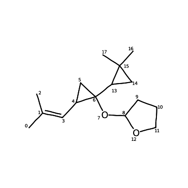 CC(C)=CC1CC1(OC1CCCO1)C1CC1(C)C